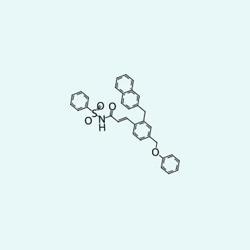 O=C(C=Cc1ccc(COc2ccccc2)cc1Cc1ccc2ccccc2c1)NS(=O)(=O)c1ccccc1